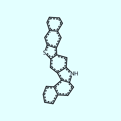 c1ccc2cc3c(cc2c1)sc1cc2c(cc13)[nH]c1ccc3ccccc3c12